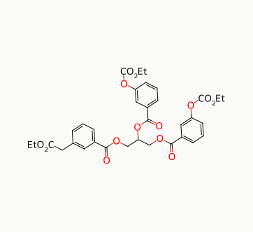 CCOC(=O)Cc1cccc(C(=O)OCC(COC(=O)c2cccc(OC(=O)OCC)c2)OC(=O)c2cccc(OC(=O)OCC)c2)c1